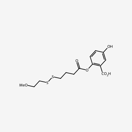 COCCSSCCCC(=O)Oc1ccc(O)cc1C(=O)O